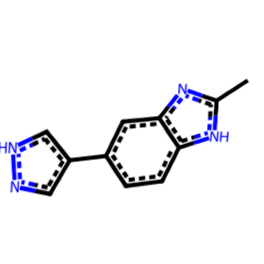 Cc1nc2cc(-c3cn[nH]c3)ccc2[nH]1